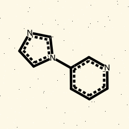 [c]1nccn1-c1cccnc1